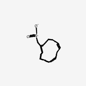 O=[N+]([O-])C1CC=CCCCC1